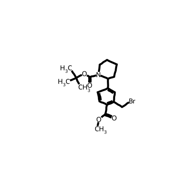 COC(=O)c1ccc(C2CCCCN2C(=O)OC(C)(C)C)cc1CBr